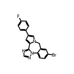 Fc1ccc(-c2cc3n(c2)Cc2cc(Br)ccc2-n2ncnc2-3)cc1